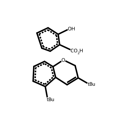 CC(C)(C)C1=Cc2c(cccc2C(C)(C)C)OC1.O=C(O)c1ccccc1O